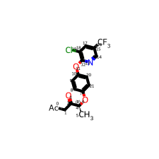 CC(=O)CC(=O)[C@@H](C)Oc1ccc(Oc2ncc(C(F)(F)F)cc2Cl)cc1